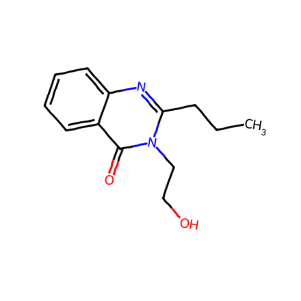 CCCc1nc2ccccc2c(=O)n1CCO